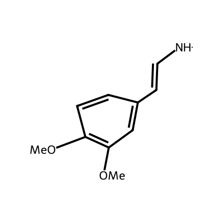 COc1ccc(/C=C/[NH])cc1OC